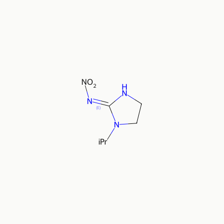 CC(C)N1CCN/C1=N\[N+](=O)[O-]